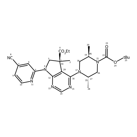 CCOC(=O)[C@]1(C)CN(c2cc(C#N)ccn2)c2ncnc(N3C[C@@H](C)N(C(=O)OC(C)(C)C)C[C@@H]3C)c21